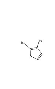 CC(C)C1=[C]([Ru])CC=C1